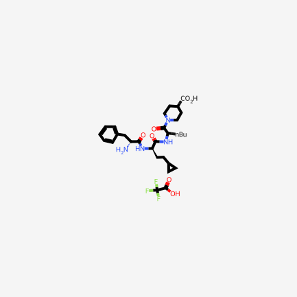 CCCCC(NC(=O)[C@@H](CCC1CC1)NC(=O)[C@H](N)Cc1ccccc1)C(=O)N1CCC(C(=O)O)CC1.O=C(O)C(F)(F)F